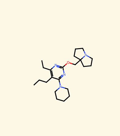 CCCc1c(CC)nc(OCC23CCCN2CCC3)nc1N1CCCCC1